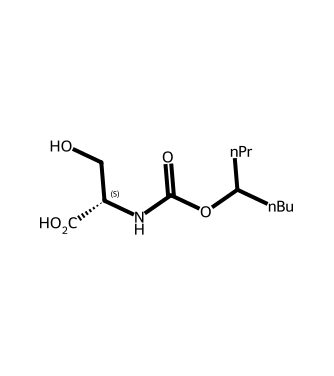 CCCCC(CCC)OC(=O)N[C@@H](CO)C(=O)O